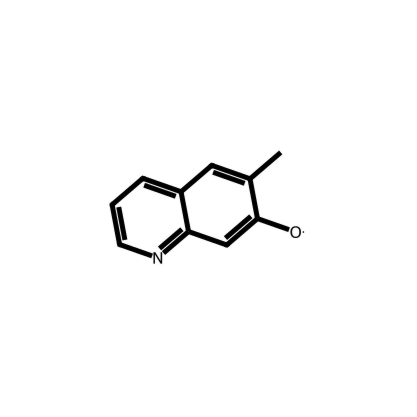 Cc1cc2cccnc2cc1[O]